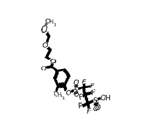 COCOCCOC(=O)c1ccc(OS(=O)(=O)C(F)(F)C(F)(F)C(F)(F)S(=O)(=O)O)c(C)c1